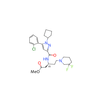 COC(=O)C[C@H](CCN1CCCC(F)(F)C1)NC(=O)c1cc(-c2ccccc2Cl)n(C2CCCC2)n1